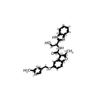 Cc1ncc(COc2ccc3oc(C)c(C(=O)NC(CO)c4nc5ccccc5[nH]4)c3c2)s1